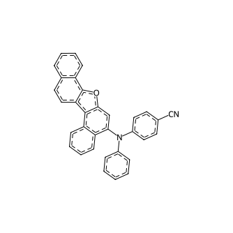 N#Cc1ccc(N(c2ccccc2)c2cc3oc4c5ccccc5ccc4c3c3ccccc23)cc1